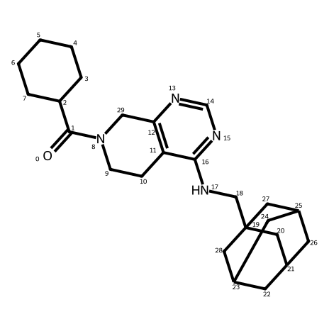 O=C(C1CCCCC1)N1CCc2c(ncnc2NCC23CC4CC(CC(C4)C2)C3)C1